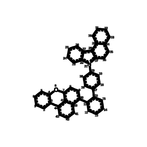 c1ccc2c(c1)Oc1ccc(-c3ccccc3-c3ccc(-n4c5ccccc5c5c6ccccc6ccc54)cc3)c3cccc-2c13